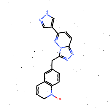 ON1CC=Cc2cc(Cc3nnc4ccc(-c5cn[nH]c5)nn34)ccc21